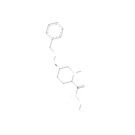 CCCONC(=O)C1CC[C@@H](NOCc2ccccc2)CN1C